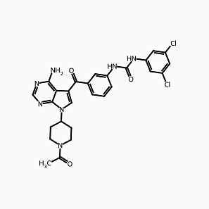 CC(=O)N1CCC(n2cc(C(=O)c3cccc(NC(=O)Nc4cc(Cl)cc(Cl)c4)c3)c3c(N)ncnc32)CC1